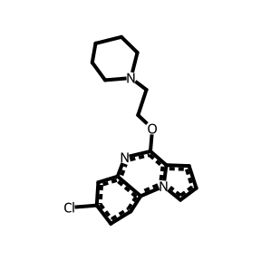 Clc1ccc2c(c1)nc(OCCN1CCCCC1)c1cccn12